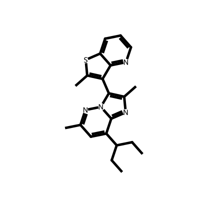 CCC(CC)c1cc(C)nn2c(-c3c(C)sc4cccnc34)c(C)nc12